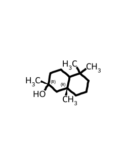 CC1(C)CCC[C@]2(C)C[C@](C)(O)CCC12